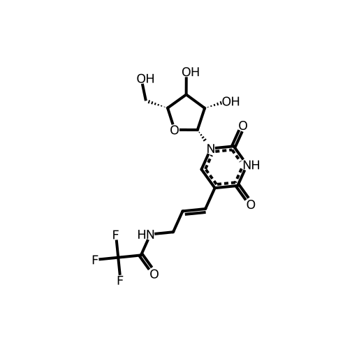 O=C(NC/C=C/c1cn([C@@H]2O[C@H](CO)C(O)[C@@H]2O)c(=O)[nH]c1=O)C(F)(F)F